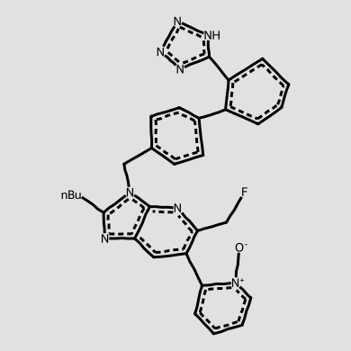 CCCCc1nc2cc(-c3cccc[n+]3[O-])c(CF)nc2n1Cc1ccc(-c2ccccc2-c2nnn[nH]2)cc1